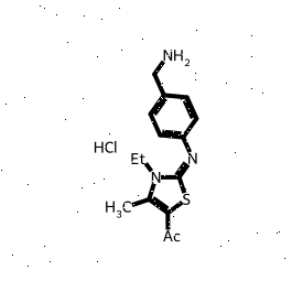 CCn1c(C)c(C(C)=O)sc1=Nc1ccc(CN)cc1.Cl